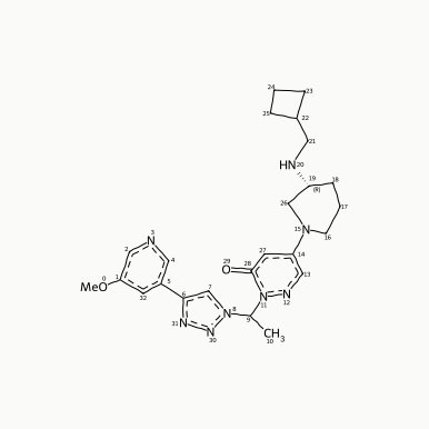 COc1cncc(-c2cn(C(C)n3ncc(N4CCC[C@@H](NCC5CCC5)C4)cc3=O)nn2)c1